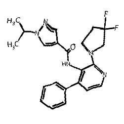 CC(C)n1cc(C(=O)Nc2c(-c3ccccc3)ccnc2N2CCC(F)(F)C2)cn1